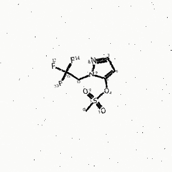 CS(=O)(=O)Oc1ccnn1CC(F)(F)F